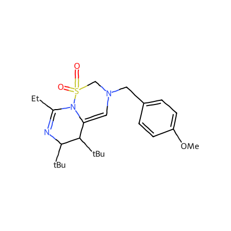 CCC1=NC(C(C)(C)C)C(C(C)(C)C)C2=CN(Cc3ccc(OC)cc3)CS(=O)(=O)N21